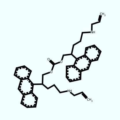 C=CCNCCCC(COC(=O)OCC(CCCNCC=C)c1c2ccccc2cc2ccccc12)c1c2ccccc2cc2ccccc12